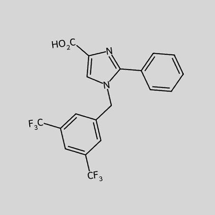 O=C(O)c1cn(Cc2cc(C(F)(F)F)cc(C(F)(F)F)c2)c(-c2ccccc2)n1